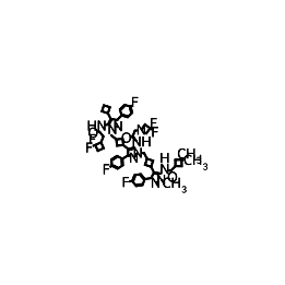 Cn1nc(-c2ccc(F)cc2)c(C2CC(Cn3nc(-c4ccc(F)cc4)c(C4CC(Cn5nc(-c6ccc(F)cc6)c(C6CCC6)c5NC(=O)CC5CCC5(F)F)C4)c3NC(=O)CN3CC(F)(F)C3)C2)c1NC(=O)C1CC(C)(C)C1